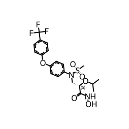 CC(C)O[C@@H](CN(c1ccc(Oc2ccc(C(F)(F)F)cc2)cc1)S(C)(=O)=O)C(=O)NO